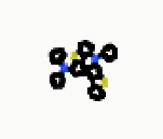 c1ccc(N(c2ccccc2)c2cccc3c2sc2cccc(N(c4ccccc4)c4ccc5c(c4)sc4ccccc45)c23)cc1